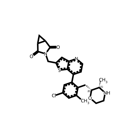 Cc1cc(Cl)cc(-c2ccnc3cc(CN4C(=O)C5CC5C4=O)sc23)c1C[C@H]1OCCN[C@H]1C